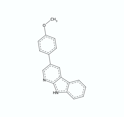 COc1ccc(-c2cnc3[nH]c4ccccc4c3c2)cc1